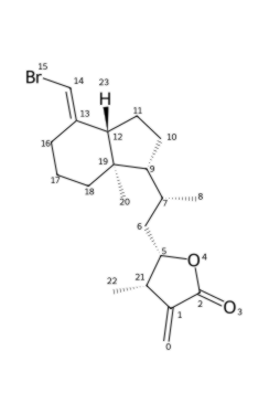 C=C1C(=O)O[C@@H](C[C@@H](C)[C@H]2CC[C@H]3/C(=C/Br)CCC[C@]23C)[C@H]1C